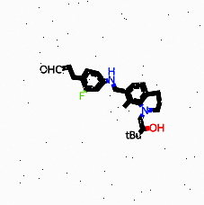 Cc1c(CNc2ccc(CCC=O)c(F)c2)ccc2c1N(CC(O)C(C)(C)C)CCC2